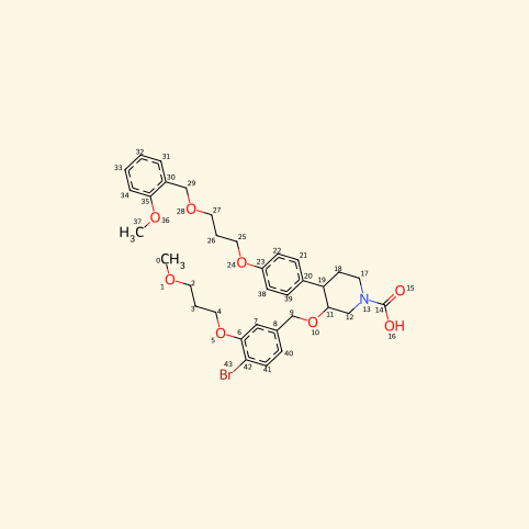 COCCCOc1cc(COC2CN(C(=O)O)CCC2c2ccc(OCCCOCc3ccccc3OC)cc2)ccc1Br